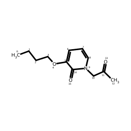 CCCCOc1cccn(CC(C)=O)c1=O